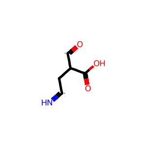 N=[C]CC([C]=O)C(=O)O